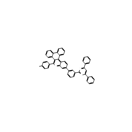 Fc1ccc(-c2nc3cc(-c4cccc(-c5nc(-c6ccccc6)cc(-c6ccccc6)n5)c4)ccc3c3c4ccccc4c4ccccc4c23)cc1